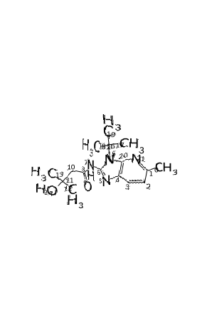 Cc1ccc2nc(NC(=O)CC(C)(C)O)n(C(C)(C)C)c2n1